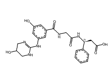 O=C(O)C[C@H](NC(=O)CNC(=O)c1cc(O)cc(NC2=NCC(O)CN2)c1)c1ccccc1